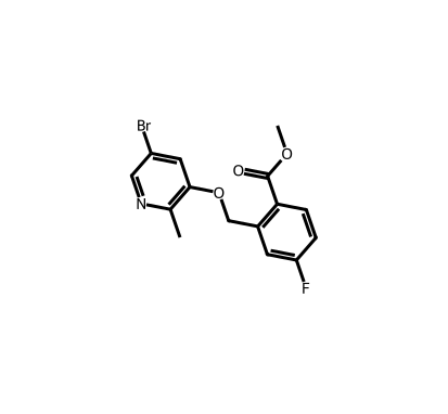 COC(=O)c1ccc(F)cc1COc1cc(Br)cnc1C